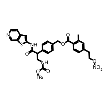 Cc1cc(CCO[N+](=O)[O-])ccc1C(=O)OCc1ccc(C(CNC(=O)OC(C)(C)C)C(=O)Nc2cc3ccncc3s2)cc1